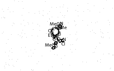 CC[C@H]1OC(=O)[C@H](C)C[C@H](C)[C@@H](OC2O[C@H](C)C[C@H](N(C)C)[C@H]2OC)[C@](C)(OC)C[C@@H](C)C(=O)[C@H](C)[C@H]2[C@H](SCCN(Cc3c(Cl)cncc3Cl)c3ccc(OC)c(OC4CCCC4)c3)C(=O)O[C@@]21C